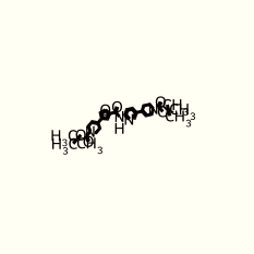 CC(C)(C)OC(=O)N1CC=C(c2ccc(NC(=O)c3cc(C4=CCN(C(=O)OC(C)(C)C)CC4)co3)nc2)CC1